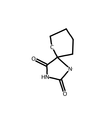 O=C1[N]C2(CCCCC2)C(=O)N1